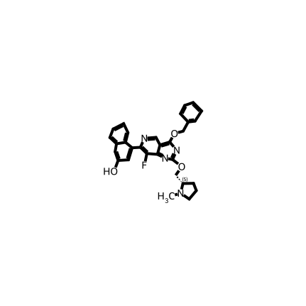 CN1CCC[C@H]1COc1nc(OCc2ccccc2)c2cnc(-c3cc(O)cc4ccccc34)c(F)c2n1